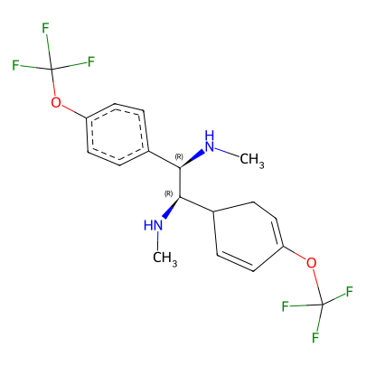 CN[C@H](c1ccc(OC(F)(F)F)cc1)[C@H](NC)C1C=CC(OC(F)(F)F)=CC1